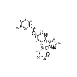 Cc1cccc(COc2ccc(-c3ccnn3C3CCCCO3)nc2)c1